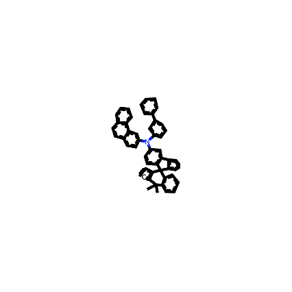 CC1(C)c2ccccc2C2(c3ccccc3-c3cc(N(c4cccc(-c5ccccc5)c4)c4ccc5ccc6ccccc6c5c4)ccc32)c2ccccc21